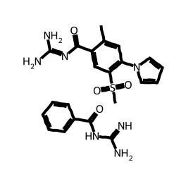 Cc1cc(-n2cccc2)c(S(C)(=O)=O)cc1C(=O)N=C(N)N.N=C(N)NC(=O)c1ccccc1